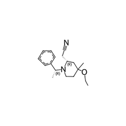 CCOC1(C)CCN([C@H](C)c2ccccc2)[C@H](CC#N)C1